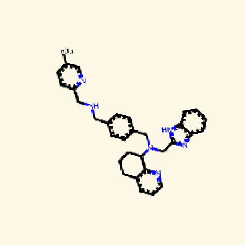 CCCCc1ccc(CNCc2ccc(CN(Cc3nc4ccccc4[nH]3)C3CCCc4cccnc43)cc2)nc1